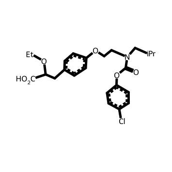 CCOC(Cc1ccc(OCCN(CC(C)C)C(=O)Oc2ccc(Cl)cc2)cc1)C(=O)O